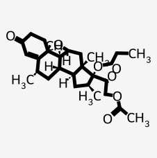 CCC(=O)O[C@]1(C(=O)COC(C)=O)[C@@H](C)C[C@H]2[C@@H]3C[C@H](C)C4=CC(=O)CC[C@]4(C)[C@]34O[C@H]4C[C@@]21C